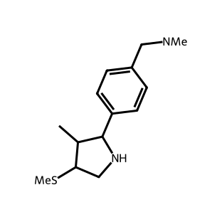 CNCc1ccc(C2NCC(SC)C2C)cc1